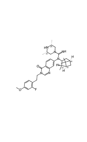 COc1ccc(CCn2cnc3cc(N(C(=N)N4C[C@@H](C)N[C@@H](C)C4)C4C[C@H]5C[C@@H]([C@@H]4C)C5(C)C)ccc3c2=O)c(F)c1